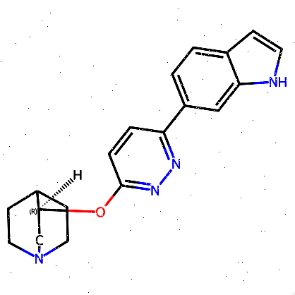 c1cc2ccc(-c3ccc(O[C@H]4CN5CCC4CC5)nn3)cc2[nH]1